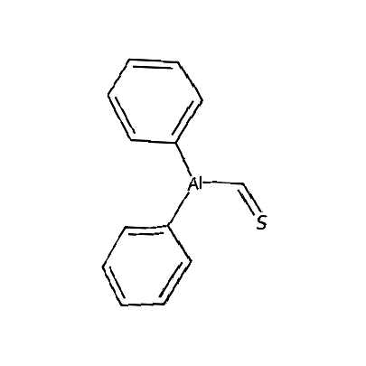 S=[CH][Al]([c]1ccccc1)[c]1ccccc1